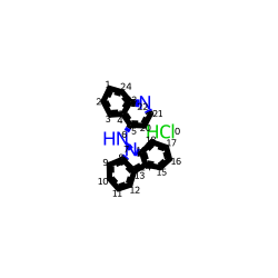 Cl.c1ccc2c(Nn3c4ccccc4c4ccccc43)ccnc2c1